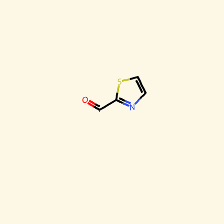 O=[C]c1nccs1